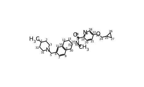 CC1CCN(Cc2ccc3c(c2)CC[C@H](N(C)C(=O)c2ccc(OCC4CC4)cn2)C3)CC1